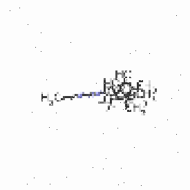 CCCCC/C=C/C=C/C=C/C(=O)O[C@H]1C(C)=C[C@]2([C@H](C)CC)C(=O)[C@H](C(C)C)C=C(CO)[C@@H](O)[C@]12O